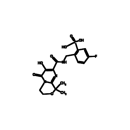 CC1(C)OCCn2c1nc(C(=O)NCc1ccc(F)cc1P(=O)(O)O)c(O)c2=O